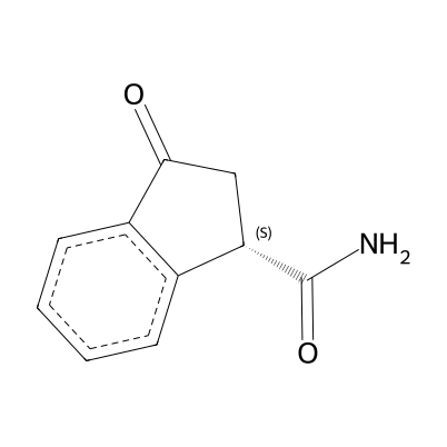 NC(=O)[C@H]1CC(=O)c2ccccc21